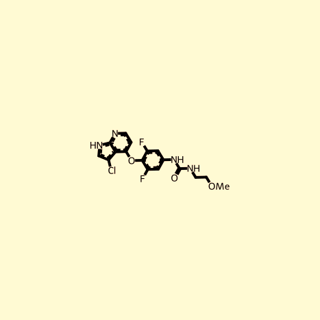 COCCNC(=O)Nc1cc(F)c(Oc2ccnc3[nH]cc(Cl)c23)c(F)c1